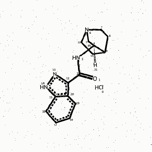 Cl.O=C(N[C@H]1CN2CCC1CC2)c1n[nH]c2ccccc12